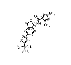 BC(B)(B)c1nc(-c2ccc3c(c2)CC[C@H]3NC(=O)c2cn(C)nc2C)no1